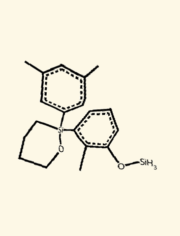 Cc1cc(C)cc([Si]2(c3cccc(O[SiH3])c3C)CCCCO2)c1